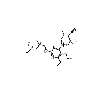 CCCc1c(CC)nc(OC[C@H](C)C[C@@H](F)CC)nc1N(CCC)C[C@@H](C)CC#N